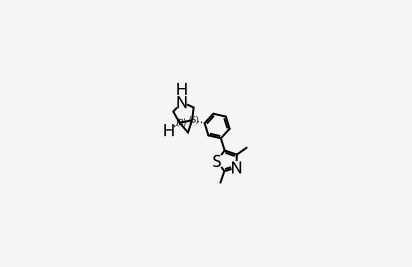 Cc1nc(C)c(-c2cccc([C@@]34CNC[C@@H]3C4)c2)s1